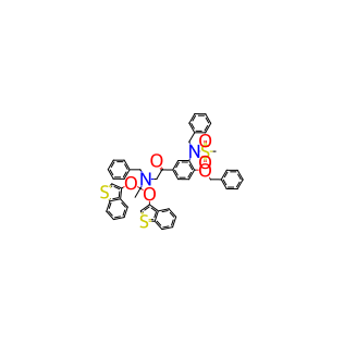 CC(Oc1csc2ccccc12)(Oc1csc2ccccc12)N(CC(=O)c1ccc(OCc2ccccc2)c(N(Cc2ccccc2)S(C)(=O)=O)c1)Cc1ccccc1